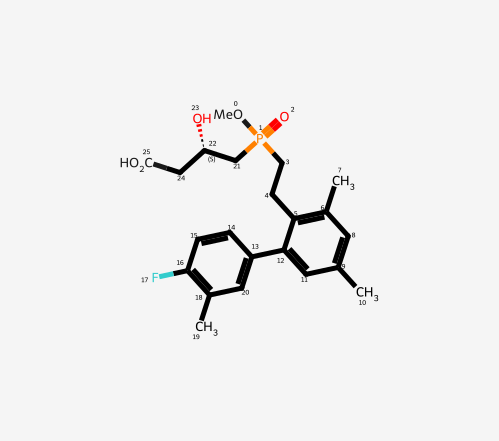 COP(=O)(CCc1c(C)cc(C)cc1-c1ccc(F)c(C)c1)C[C@@H](O)CC(=O)O